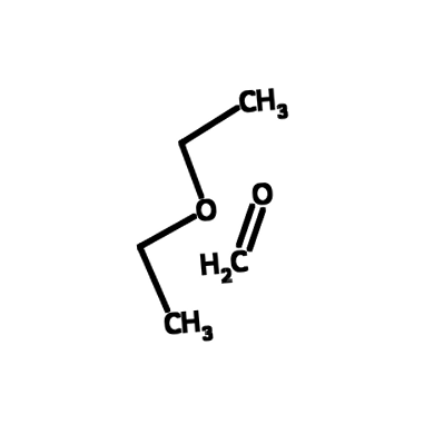 C=O.CCOCC